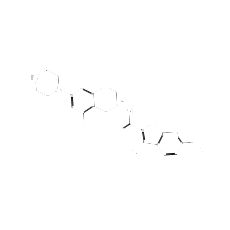 COc1ccc2c(N)c(C(=O)N[C@H]3COc4cc(N5CCNCC5)cc(F)c4C3)sc2n1